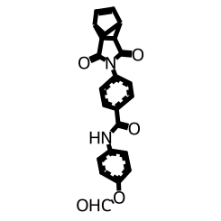 O=COc1ccc(NC(=O)c2ccc(N3C(=O)C4C5C=CC(C5)C4C3=O)cc2)cc1